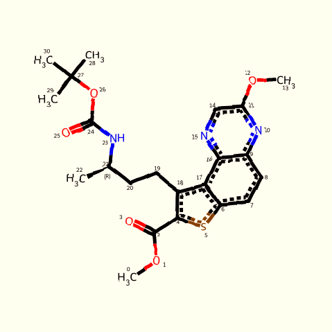 COC(=O)c1sc2ccc3nc(OC)cnc3c2c1CC[C@@H](C)NC(=O)OC(C)(C)C